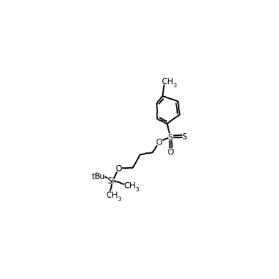 Cc1ccc(S(=O)(=S)OCCCO[Si](C)(C)C(C)(C)C)cc1